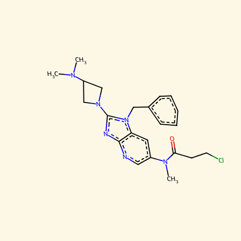 CN(C(=O)CCCl)c1cnc2nc(N3CC(N(C)C)C3)n(Cc3ccccc3)c2c1